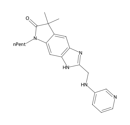 CCCCCN1C(=O)C(C)(C)c2cc3nc(CNc4cccnc4)[nH]c3cc21